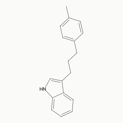 Cc1ccc(CCCc2c[nH]c3ccccc23)cc1